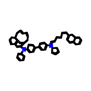 C1=CCC(N(/C=C/C=C/C=C\C2=CC=C3CC=CC=C3C2)c2ccc(-c3ccc(N(c4ccccc4)c4cc5c6cc4C/C=C\C=C\CC6CC=C5)cc3)cc2)C=1